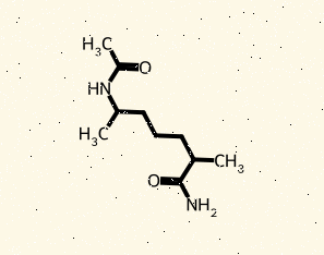 CC(=O)NC(C)CCCC(C)C(N)=O